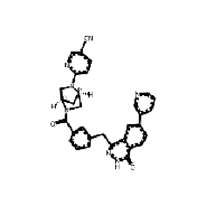 N#Cc1ccc(N2C[C@H]3C[C@@H]2CN3C(=O)c2cccc(Cc3n[nH]c(=O)c4ccc(-c5cccnc5)cc34)c2)nc1